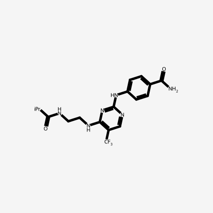 CC(C)C(=O)NCCNc1nc(Nc2ccc(C(N)=O)cc2)ncc1C(F)(F)F